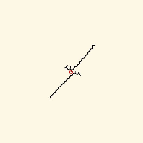 CCCCCCCCCCCCCCCCCC(OC(CCCCCCCCCCCCCCCCC)C(C)CC(C)C)C(C)CC(C)C